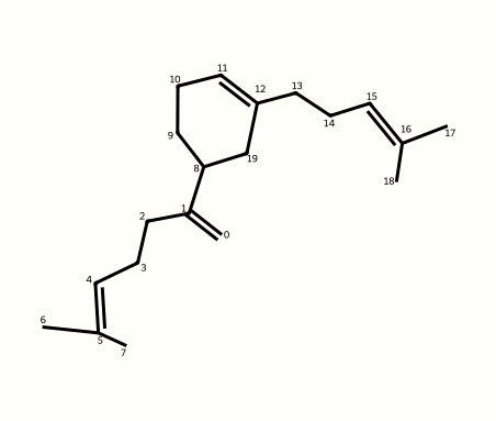 C=C(CCC=C(C)C)C1CCC=C(CCC=C(C)C)C1